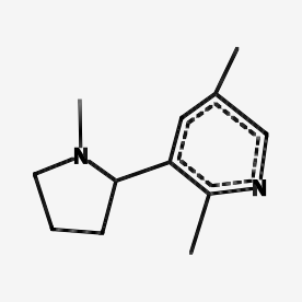 Cc1cnc(C)c(C2CCCN2C)c1